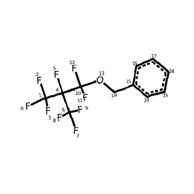 FC(F)(F)C(F)(C(F)(F)F)C(F)(F)OCc1ccccc1